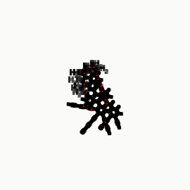 BBB(B)B(B(B)B)c1c(B(B(B)B)B(B)B)c(C)c(C)c2c(C)c(-c3c4c(C)c(C)c(C)c(C)c4c(-c4c(C#CC#CC#CC)c(C#CC#CC#C)c(C#CC#CC)c5c4c(C#CC#CC#CC#CC)c(C)c4c(C)c(C)c(C#CC)c(C#CC#C)c45)c4c(C)c(C)c(C)c(C)c34)c(BB)c(B)c12